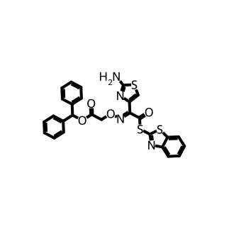 Nc1nc(C(=NOCC(=O)OC(c2ccccc2)c2ccccc2)C(=O)Sc2nc3ccccc3s2)cs1